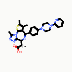 Cc1sc2c(c1C)C(c1ccc(N3CCN(c4ccccn4)CC3)cc1)=NC([C@H](C)C(=O)O)c1nnc(C)n1-2